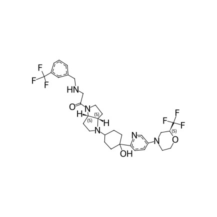 O=C(CNCc1cccc(C(F)(F)F)c1)N1CC[C@H]2[C@@H]1CCN2C1CCC(O)(c2ccc(N3CCO[C@H](C(F)(F)F)C3)cn2)CC1